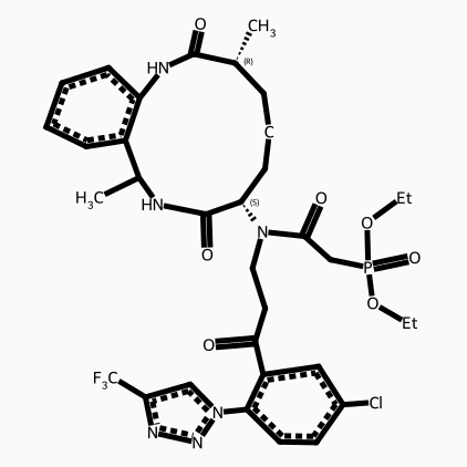 CCOP(=O)(CC(=O)N(CCC(=O)c1cc(Cl)ccc1-n1cc(C(F)(F)F)nn1)[C@H]1CCC[C@@H](C)C(=O)Nc2ccccc2C(C)NC1=O)OCC